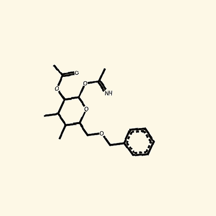 CC(=N)OC1OC(COCc2ccccc2)C(C)C(C)C1OC(C)=O